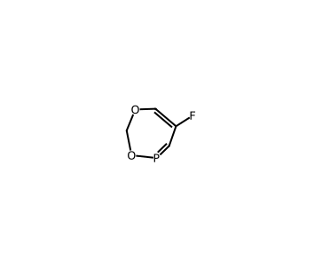 FC1=COCOP=C1